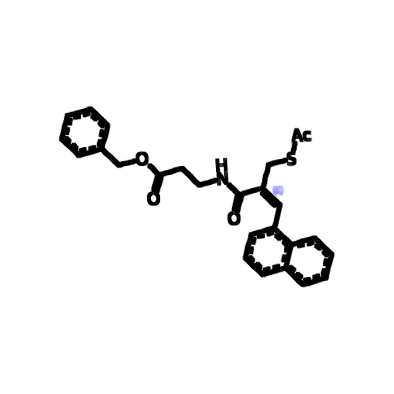 CC(=O)SC/C(=C/c1cccc2ccccc12)C(=O)NCCC(=O)OCc1ccccc1